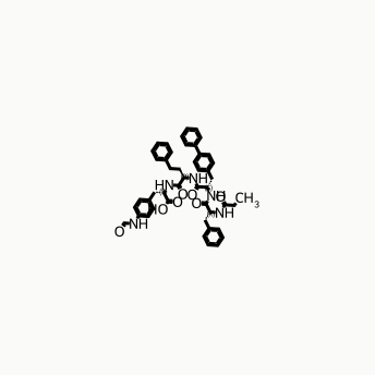 CCC(=O)N[C@H](Cc1ccccc1)C(=O)N[C@@H](Cc1ccc(-c2ccccc2)cc1)C(=O)N[C@H](CCc1ccccc1)C(=O)N[C@@H](Cc1ccc(NC=O)cc1)C(=O)O